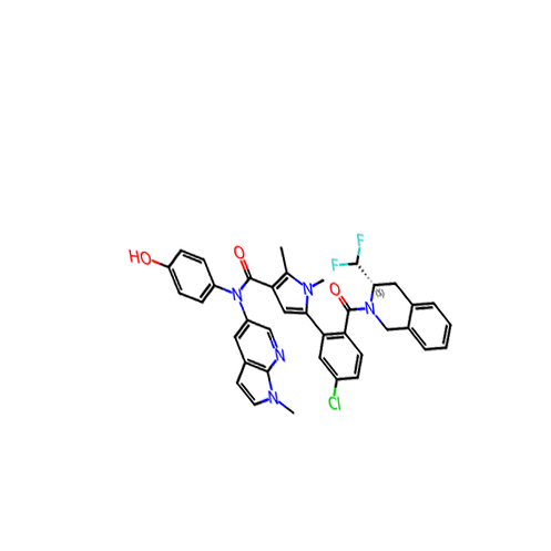 Cc1c(C(=O)N(c2ccc(O)cc2)c2cnc3c(ccn3C)c2)cc(-c2cc(Cl)ccc2C(=O)N2Cc3ccccc3C[C@H]2C(F)F)n1C